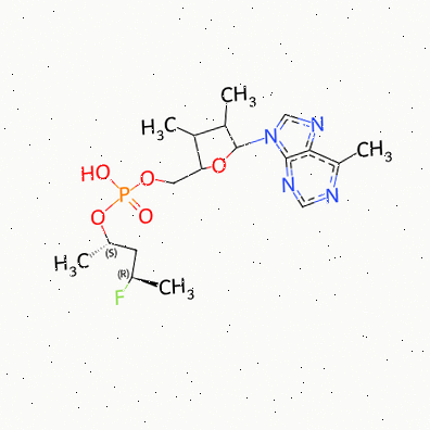 Cc1ncnc2c1ncn2C1OC(COP(=O)(O)O[C@@H](C)C[C@@H](C)F)C(C)C1C